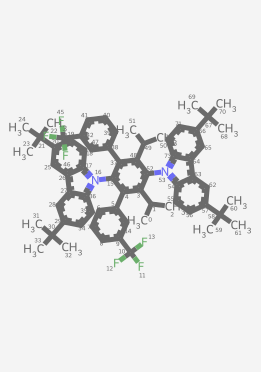 CC(C)c1c(-c2cccc(C(F)(F)F)c2)c(-n2c3ccc(C(C)(C)C)cc3c3cc(C(C)(C)C)ccc32)c(-c2cccc(C(F)(F)F)c2)c(C(C)C)c1-n1c2ccc(C(C)(C)C)cc2c2cc(C(C)(C)C)ccc21